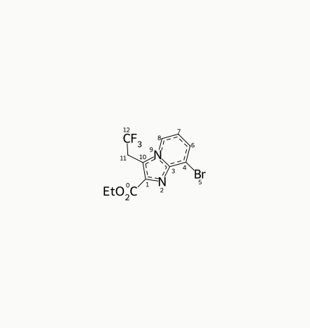 CCOC(=O)c1nc2c(Br)cccn2c1CC(F)(F)F